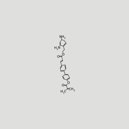 C=C(C)C(=O)Oc1ccc(-c2ccc(/C=C/C(=O)OCCC3=CCC(N)C=C3N)cc2)cc1